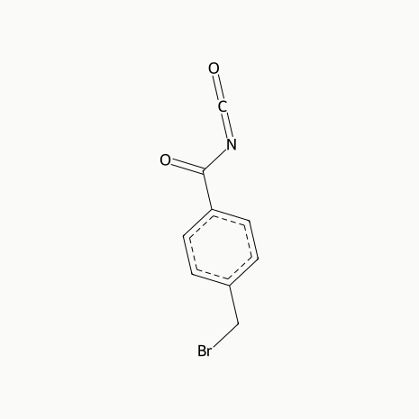 O=C=NC(=O)c1ccc(CBr)cc1